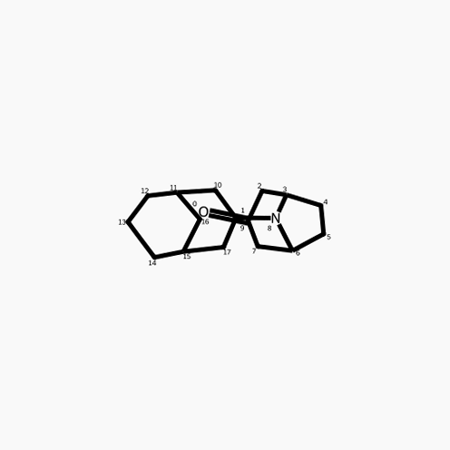 O=C1CC2CCC(C1)N2C1CC2CCCC(C2)C1